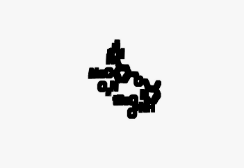 COc1c(-c2ncn(C)n2)cc(COCc2nc(NC(=O)OC(C)(C)C)ccc2C)cc1[N+](=O)[O-]